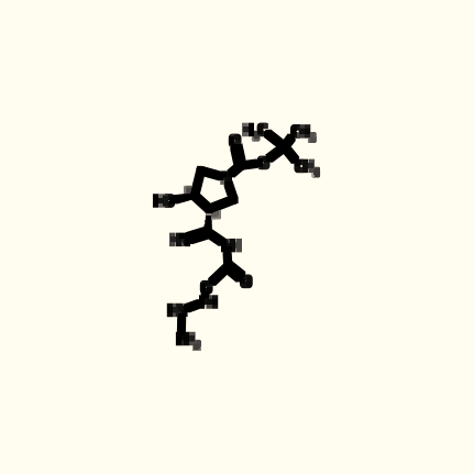 BNPOC(=O)NC(=N)[C@H]1CN(C(=O)OC(C)(C)C)C[C@@H]1O